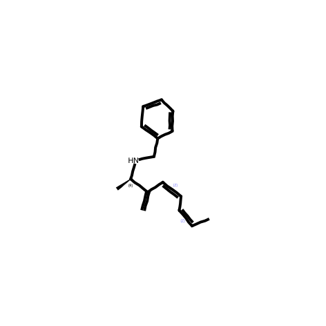 C=C(/C=C\C=C/C)[C@@H](C)NCc1ccccc1